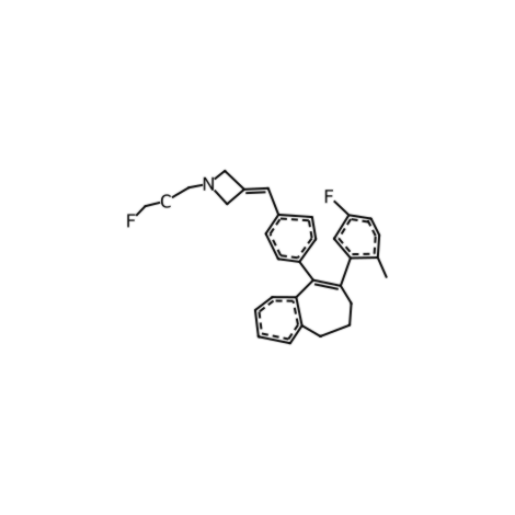 Cc1ccc(F)cc1C1=C(c2ccc(C=C3CN(CCCF)C3)cc2)c2ccccc2CCC1